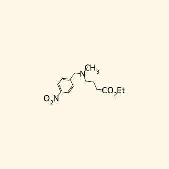 CCOC(=O)CCCN(C)Cc1ccc([N+](=O)[O-])cc1